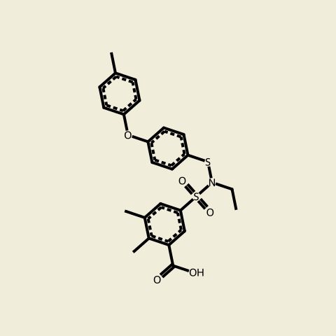 CCN(Sc1ccc(Oc2ccc(C)cc2)cc1)S(=O)(=O)c1cc(C)c(C)c(C(=O)O)c1